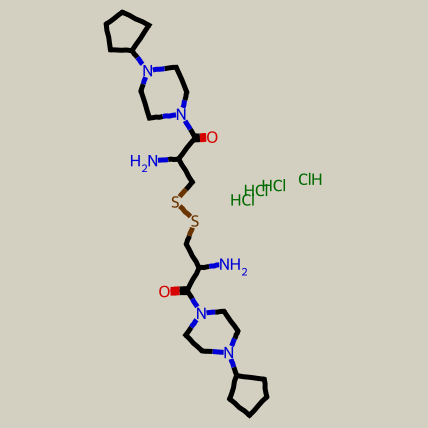 Cl.Cl.Cl.Cl.NC(CSSCC(N)C(=O)N1CCN(C2CCCC2)CC1)C(=O)N1CCN(C2CCCC2)CC1